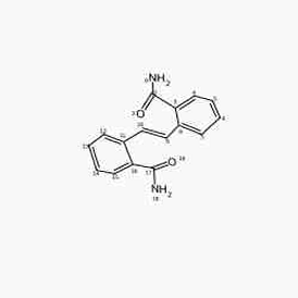 NC(=O)c1ccccc1/C=C/c1ccccc1C(N)=O